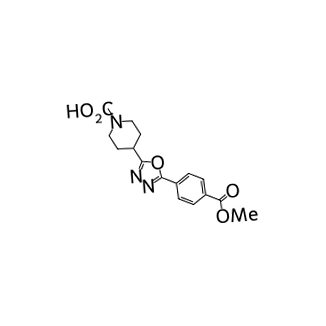 COC(=O)c1ccc(-c2nnc(C3CCN(C(=O)O)CC3)o2)cc1